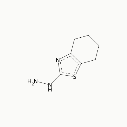 NNc1nc2c(s1)CCCC2